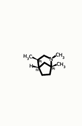 C[C@H]1CN(C)[C@]2(C)CC[C@H]1C2